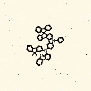 CC1(C)c2ccccc2-c2ccc(N(c3ccc4c(c3)c3c5c(ccc3n4-c3ccccc3)C3(c4ccccc4-c4ccccc43)c3ccccc3-5)c3cccc4c3oc3ccccc34)cc21